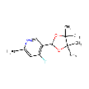 CC1(C)OB(c2cnc([AsH2])cc2F)OC1(C)C